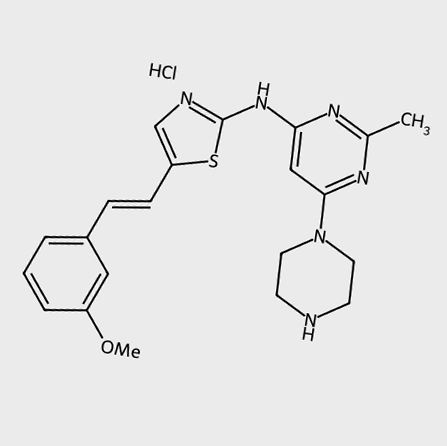 COc1cccc(C=Cc2cnc(Nc3cc(N4CCNCC4)nc(C)n3)s2)c1.Cl